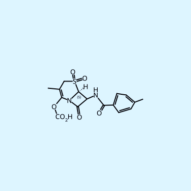 CC1=C(OC(=O)O)N2C(=O)C(NC(=O)c3ccc(C)cc3)[C@@H]2S(=O)(=O)C1